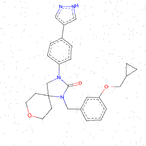 O=C1N(c2ccc(-c3cn[nH]c3)cc2)CC2(CCOCC2)N1Cc1cccc(OCC2CC2)c1